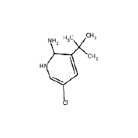 CC(C)(C)C1=CC(Cl)=CNC1N